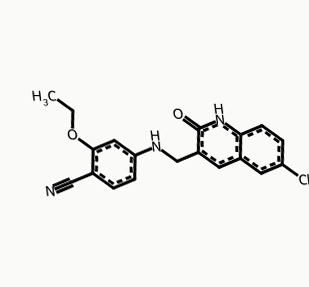 CCOc1cc(NCc2cc3cc(Cl)ccc3[nH]c2=O)ccc1C#N